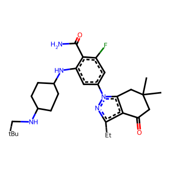 CCc1nn(-c2cc(F)c(C(N)=O)c(NC3CCC(NCC(C)(C)C)CC3)c2)c2c1C(=O)CC(C)(C)C2